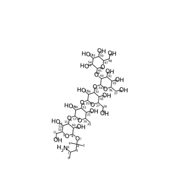 CC(N)CC(C)(C)OC1OC(CO)C(O)C(OC2OC(C)C(O)C(OC3OC(CO)C(O)C(OC4OC(CO)C(O)C(O)C4OC4OC(CO)C(O)C(O)C4O)C3O)C2O)C1O